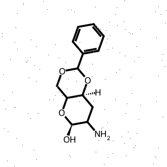 NC1C[C@@H]2OC(c3ccccc3)OCC2O[C@@H]1O